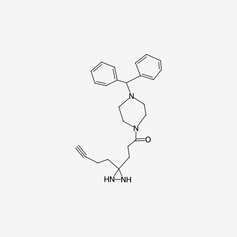 C#CCCC1(CCC(=O)N2CCN(C(c3ccccc3)c3ccccc3)CC2)NN1